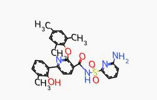 Cc1cc(C)c(Oc2nc(-c3cccc(C)c3O)ccc2C(=O)NS(=O)(=O)c2cccc(N)n2)c(C)c1